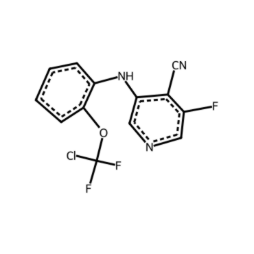 N#Cc1c(F)cncc1Nc1ccccc1OC(F)(F)Cl